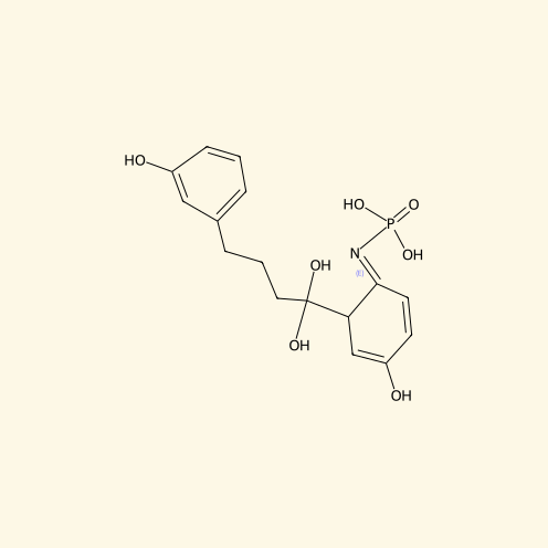 O=P(O)(O)/N=C1\C=CC(O)=CC1C(O)(O)CCCc1cccc(O)c1